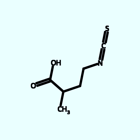 CC(CCN=C=S)C(=O)O